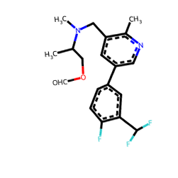 Cc1ncc(-c2ccc(F)c(C(F)F)c2)cc1CN(C)C(C)COC=O